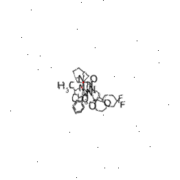 CC(C)N1C(=O)N(CC2CCCCO2)C(=O)C12CC1CCC(C2)N1CC[C@H](NC(=O)C1CCC(F)(F)CC1)c1ccccc1